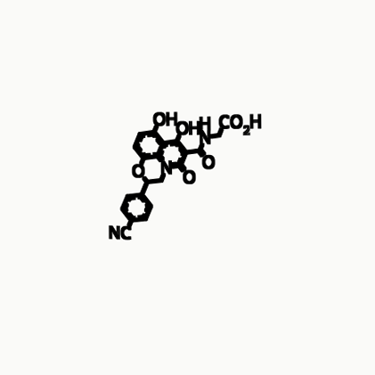 N#Cc1ccc(C2Cn3c(=O)c(C(=O)NCC(=O)O)c(O)c4c(O)ccc(c43)O2)cc1